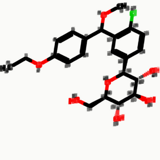 CCOc1ccc(C(OC)c2cc([C@@H]3O[C@H](CO)[C@@H](O)[C@H](O)[C@H]3O)ccc2Cl)cc1